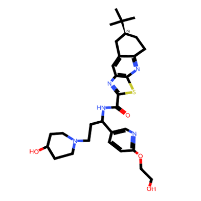 CC(C)(C)[C@H]1CCc2nc3sc(C(=O)NC(CCN4CCC(O)CC4)c4ccc(OCCO)nc4)nc3cc2C1